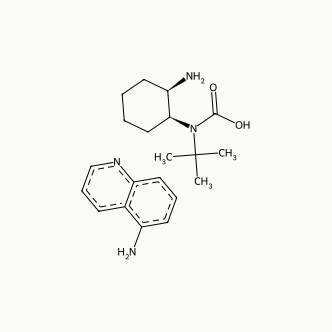 CC(C)(C)N(C(=O)O)[C@H]1CCCC[C@H]1N.Nc1cccc2ncccc12